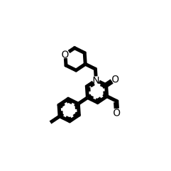 Cc1ccc(-c2cc(C=O)c(=O)n(CC3CCOCC3)c2)cc1